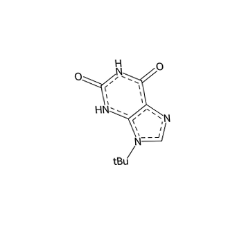 CC(C)(C)n1cnc2c(=O)[nH]c(=O)[nH]c21